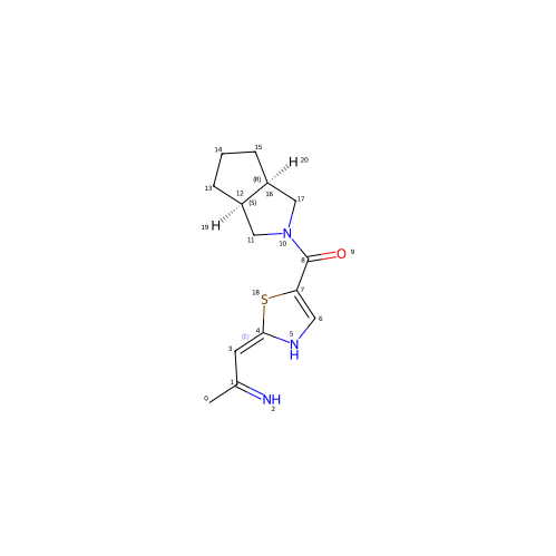 CC(=N)/C=C1\NC=C(C(=O)N2C[C@H]3CCC[C@H]3C2)S1